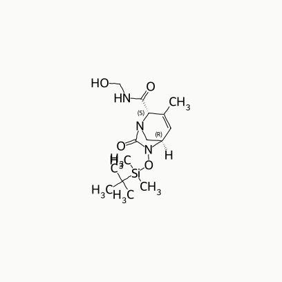 CC1=C[C@@H]2CN(C(=O)N2O[Si](C)(C)C(C)(C)C)[C@@H]1C(=O)NCO